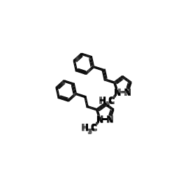 Cn1nccc1C=Cc1ccccc1.Cn1nccc1CCc1ccccc1